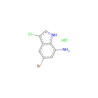 Cl.Nc1cc(Br)cc2c(Cl)c[nH]c12